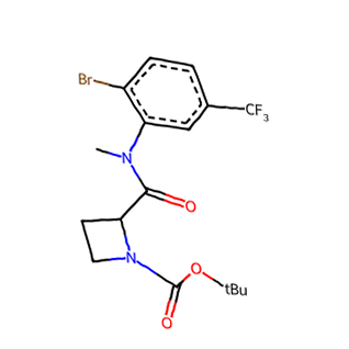 CN(C(=O)C1CCN1C(=O)OC(C)(C)C)c1cc(C(F)(F)F)ccc1Br